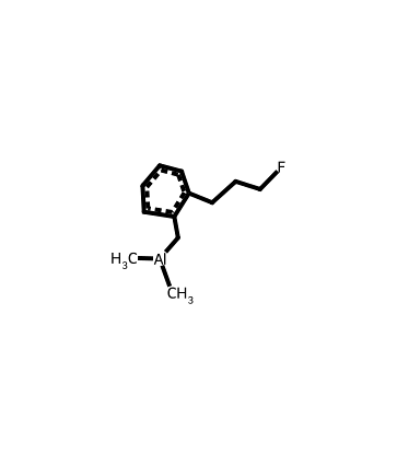 [CH3][Al]([CH3])[CH2]c1ccccc1CCCF